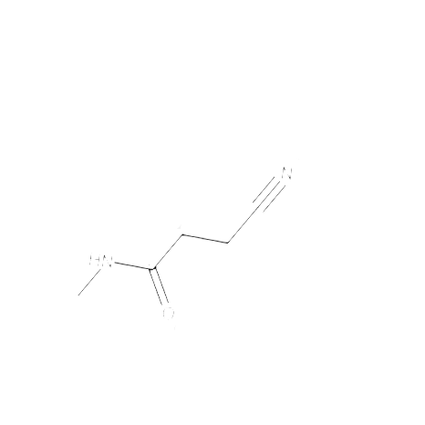 CNC(=O)CCC#N